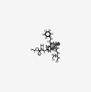 CCOC(=O)NCc1n[nH]c([C@@H](CCc2ccccc2)NS(=O)(=O)CCCN(CC)CC)n1